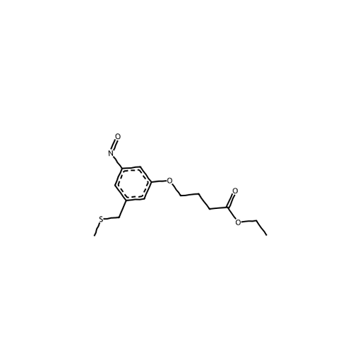 CCOC(=O)CCCOc1cc(CSC)cc(N=O)c1